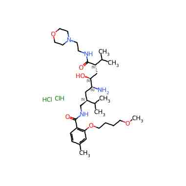 COCCCCOc1cc(C)ccc1C(=O)NC[C@@H](C[C@H](N)[C@@H](O)C[C@H](C(=O)NCCN1CCOCC1)C(C)C)C(C)C.Cl.Cl